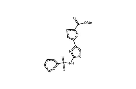 COC(=O)c1ccc(-c2csc(NS(=O)(=O)c3ccccc3)n2)s1